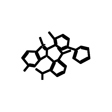 Cc1ccc2c(c1)n(-c1c(C(C)C)cccc1C(C)C)c(-c1cc(-c3ccccc3)ccc1C)[n+]2C